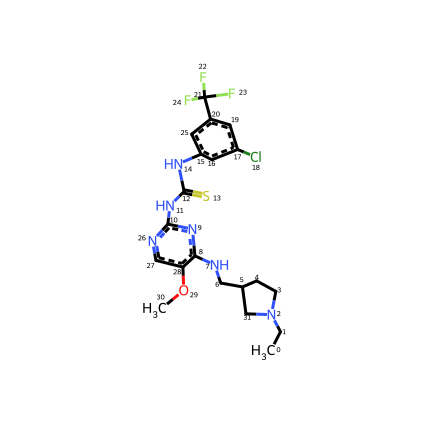 CCN1CCC(CNc2nc(NC(=S)Nc3cc(Cl)cc(C(F)(F)F)c3)ncc2OC)C1